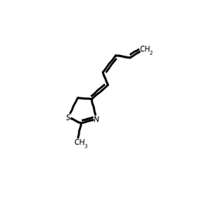 C=C/C=C\C=C1/CSC(C)=N1